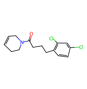 O=C(CCCc1ccc(Cl)cc1Cl)N1CC=CCC1